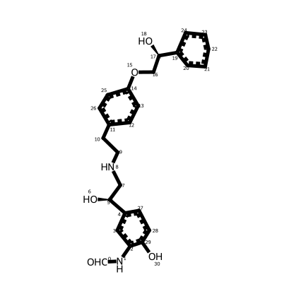 O=CNc1cc([C@@H](O)CNCCc2ccc(OC[C@@H](O)c3ccccc3)cc2)ccc1O